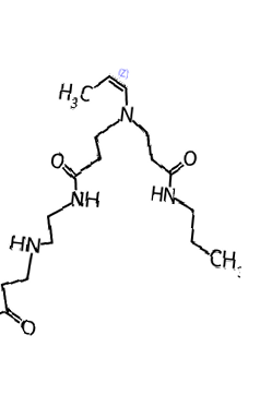 C/C=C\N(CCC(=O)NCCC)CCC(=O)NCCNCCC(=O)O